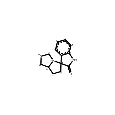 O=C1Nc2ccccc2C12CCC1CSCN12